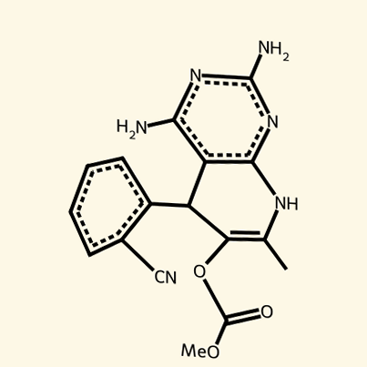 COC(=O)OC1=C(C)Nc2nc(N)nc(N)c2C1c1ccccc1C#N